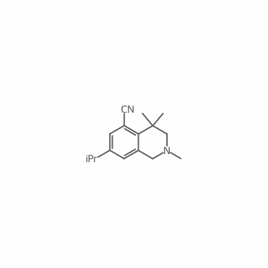 CC(C)c1cc(C#N)c2c(c1)CN(C)CC2(C)C